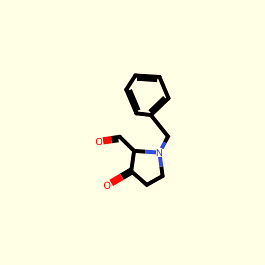 O=CC1C(=O)CCN1Cc1ccccc1